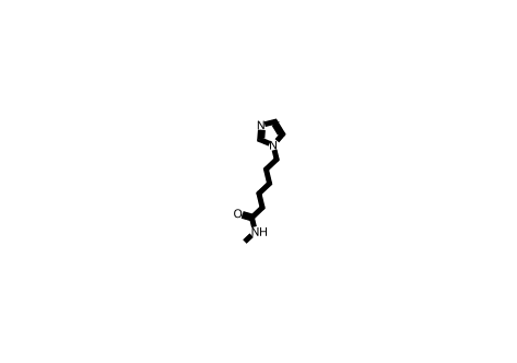 CNC(=O)CCCCCn1c[c]nc1